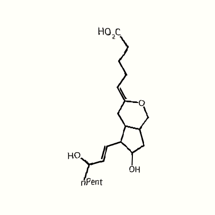 CCCCCC(O)/C=C/C1C(O)CC2CO/C(=C\CCCC(=O)O)CC21